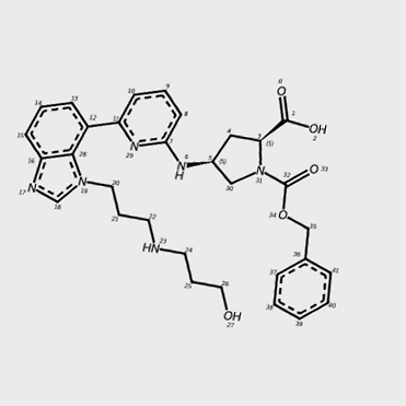 O=C(O)[C@@H]1C[C@H](Nc2cccc(-c3cccc4ncn(CCCNCCCO)c34)n2)CN1C(=O)OCc1ccccc1